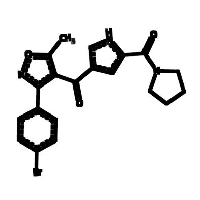 Cc1onc(-c2ccc(Br)cc2)c1C(=O)c1c[nH]c(C(=O)N2CCCC2)c1